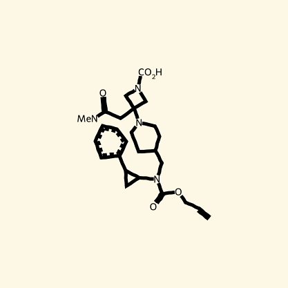 C=CCOC(=O)N(CC1CCN(C2(CC(=O)NC)CN(C(=O)O)C2)CC1)C1CC1c1ccccc1